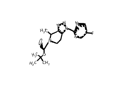 CC1c2nnn(-c3ncc(F)cn3)c2CCN1C(=O)OC(C)(C)C